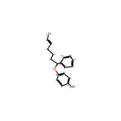 CC/C=C/CCCC(Oc1ccc(CCC)cc1)c1ccccc1